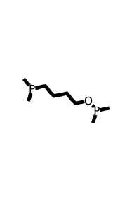 CP(C)CCCCOP(C)C